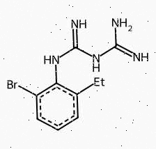 CCc1cccc(Br)c1NC(=N)NC(=N)N